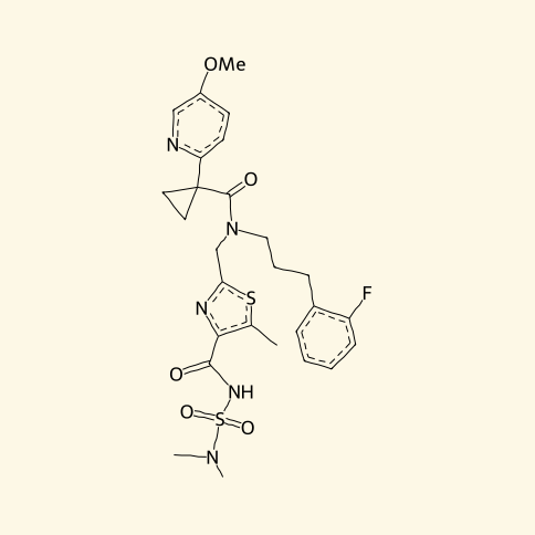 COc1ccc(C2(C(=O)N(CCCc3ccccc3F)Cc3nc(C(=O)NS(=O)(=O)N(C)C)c(C)s3)CC2)nc1